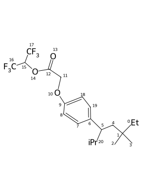 CCC(C)(C)CC(c1ccc(OCC(=O)OC(C(F)(F)F)C(F)(F)F)cc1)C(C)C